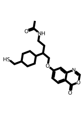 CC(=O)NCCC(COc1ccc2c(=O)ocnc2c1)C1CCC(CS)CC1